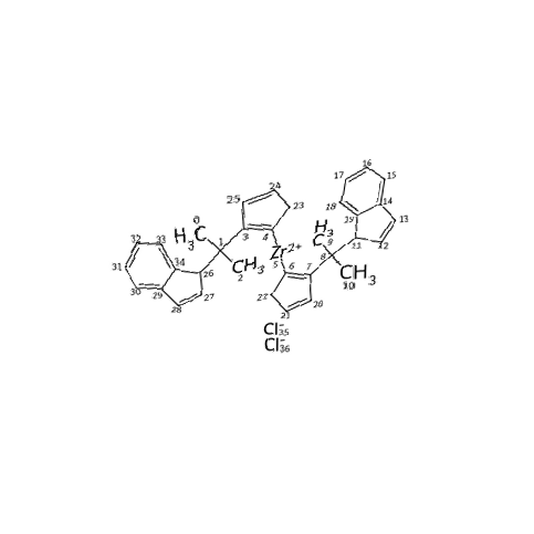 CC(C)(C1=[C]([Zr+2][C]2=C(C(C)(C)C3C=Cc4ccccc43)C=CC2)CC=C1)C1C=Cc2ccccc21.[Cl-].[Cl-]